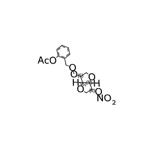 CC(=O)Oc1ccccc1COO[C@H]1CO[C@H]2[C@@H]1OC[C@H]2O[N+](=O)[O-]